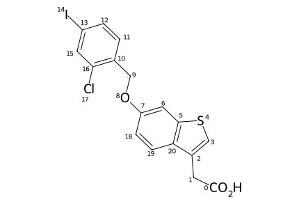 O=C(O)Cc1csc2cc(OCc3ccc(I)cc3Cl)ccc12